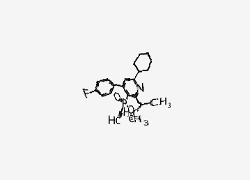 C#CP(=O)(OC)c1c(-c2ccc(F)cc2)cc(C2CCCCC2)nc1C(C)C